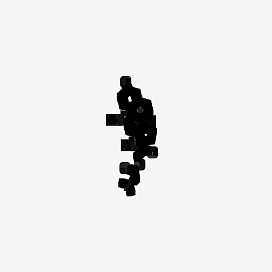 CN(C)CC(=O)OCC(=O)[C@@]1(O)CC[C@H]2[C@@H]3CCC4=CC(=O)C=C[C@]4(C)[C@H]3[C@@H](O)C[C@@]21C